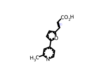 Cc1cc(-c2ccc(/C=C/C(=O)O)o2)ccn1